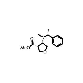 COC(=O)[C@H]1COC[C@H]1N(C)[C@H](C)c1ccccc1